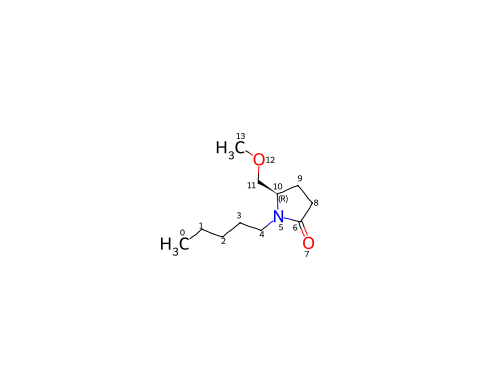 CCCCCN1C(=O)CC[C@@H]1COC